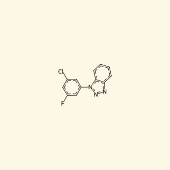 Fc1cc(Cl)cc(-n2nnc3ccccc32)c1